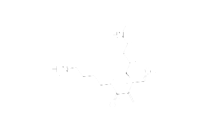 C=C(C(=O)CCCCCN)[C@H](C=O)CCCCNC